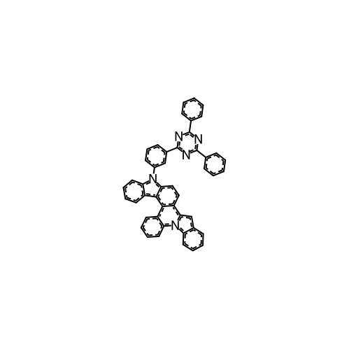 c1ccc(-c2nc(-c3ccccc3)nc(-c3cccc(-n4c5ccccc5c5c6c7ccccc7n7c8ccccc8cc7c6ccc54)c3)n2)cc1